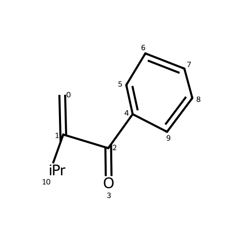 C=C(C(=O)c1ccccc1)C(C)C